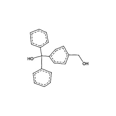 OCc1ccc(C(O)(c2ccccc2)c2ccccc2)cc1